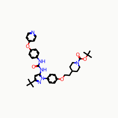 CC(C)(C)OC(=O)N1CCC(CCOc2ccc(-n3nc(C(C)(C)C)cc3NC(=O)Nc3ccc(Oc4ccncc4)cc3)cc2)CC1